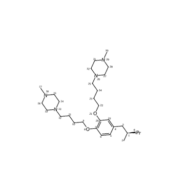 CC(C)[C@@H](C)Cc1ccc(OCCCCN2CCN(C)CC2)c(OCCCCN2CCN(C)CC2)c1